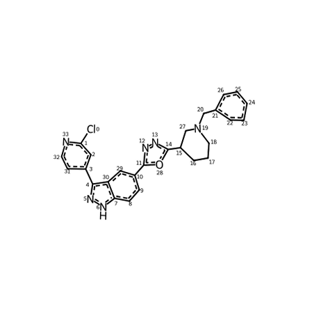 Clc1cc(-c2n[nH]c3ccc(-c4nnc(C5CCCN(Cc6ccccc6)C5)o4)cc23)ccn1